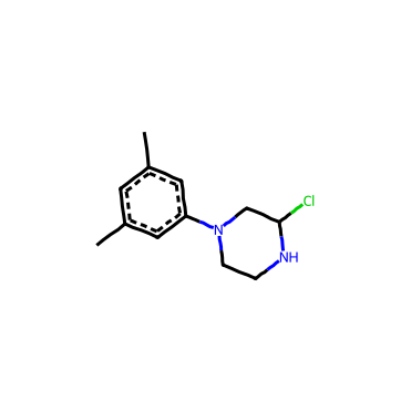 Cc1cc(C)cc(N2CCNC(Cl)C2)c1